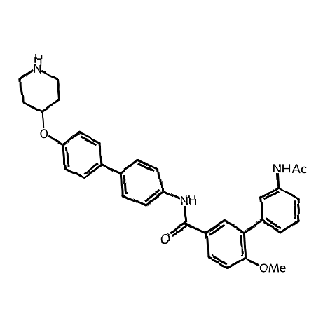 COc1ccc(C(=O)Nc2ccc(-c3ccc(OC4CCNCC4)cc3)cc2)cc1-c1cccc(NC(C)=O)c1